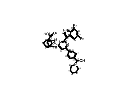 O=C(O)[C@H]1C2CCC(CC2)[C@@H]1Nc1cc(-c2ccc(C(O)N3CCCCC3)cc2)nc(-c2c[nH]c3c(F)cc(F)cc23)n1